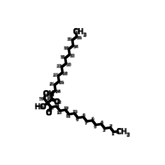 CCCCCCCCCCCCCCCC(=O)C(O)(CO)C(=O)CCCCCCCCCCCCCCC